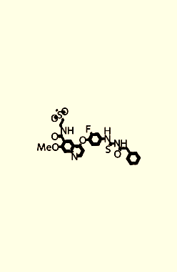 COc1cc2nccc(Oc3ccc(NC(=S)NC(=O)Cc4ccccc4)cc3F)c2cc1C(=O)NCCS(C)(=O)=O